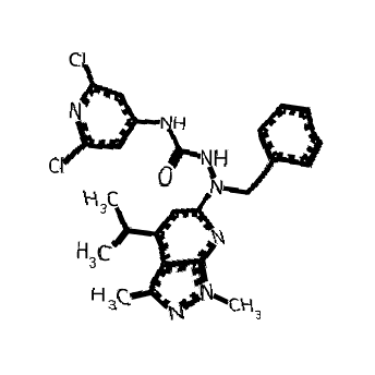 Cc1nn(C)c2nc(N(Cc3ccccc3)NC(=O)Nc3cc(Cl)nc(Cl)c3)cc(C(C)C)c12